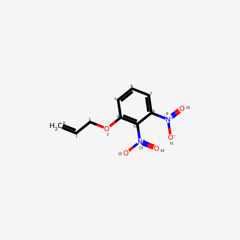 C=CCOc1cccc([N+](=O)[O-])c1[N+](=O)[O-]